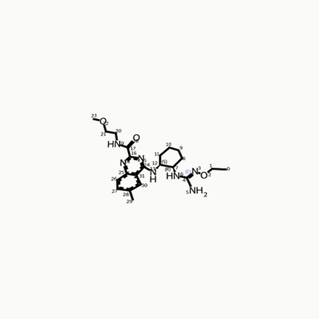 CCO/N=C(\N)N[C@@H]1CCCC[C@@H]1Nc1nc(C(=O)NCCOC)nc2ccc(C)cc12